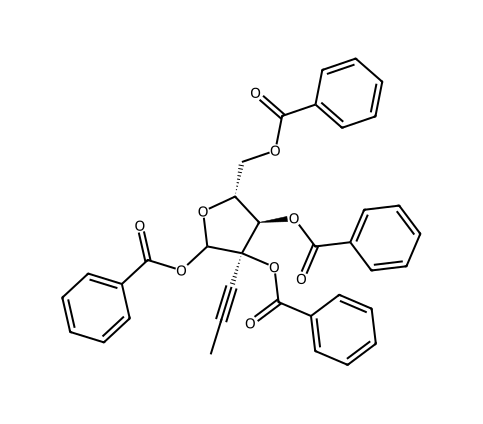 CC#C[C@]1(OC(=O)c2ccccc2)C(OC(=O)c2ccccc2)O[C@H](COC(=O)c2ccccc2)[C@H]1OC(=O)c1ccccc1